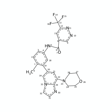 Cc1ccc(NC(=O)c2cnnc(C(F)(F)F)c2)cc1-c1cc(N2CCOCC2)c2nccn2c1